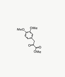 COC(=O)C(=O)Cc1ccc(OC)c(OC)c1